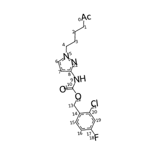 CC(=O)CCCCn1ccc(NC(=O)OCc2ccc(F)cc2Cl)n1